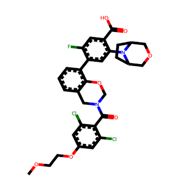 COCCOc1cc(Cl)c(C(=O)N2COc3c(cccc3-c3cc(N4C5CCC4COC5)c(C(=O)O)cc3F)C2)c(Cl)c1